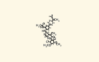 COc1cc(OC)c(Cl)c(NC(=O)N(C)c2cc(Nc3ccc(N4CCC(N(C)C5CC5)CC4)cc3NC(C)=O)ncn2)c1Cl